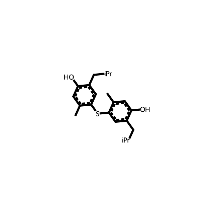 Cc1cc(O)c(CC(C)C)cc1Sc1cc(CC(C)C)c(O)cc1C